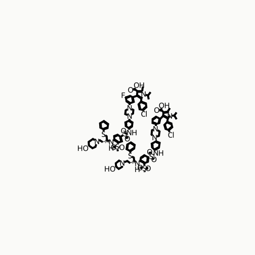 Cc1c(C(=O)O)c(-c2cc(F)cc(N3CCN(c4ccc(NS(=O)(=O)c5ccc(N[C@H](CCN6CCC(O)CC6)CSc6ccccc6)c(S(C)(=O)=O)c5)cc4)CC3)c2)c(-c2ccc(Cl)cc2)n1C(C)C.Cc1c(C(=O)O)c(-c2cccc(N3CCN(c4ccc(NS(=O)(=O)c5ccc(N[C@H](CCN6CCC(O)CC6)CSc6ccccc6)c(S(C)(=O)=O)c5)cc4)CC3)c2)c(-c2ccc(Cl)cc2)n1C(C)C